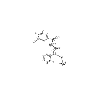 O=NCC(NNC(=O)c1cccc(F)c1)c1ccccc1